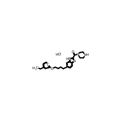 CCc1cccc(OCCCCc2ccc3nc(C(=O)N4CCNCC4)[nH]c3c2)c1.Cl